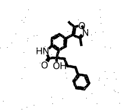 Cc1noc(C)c1-c1ccc2c(c1)C(O)(CCCc1ccccc1)C(=O)N2